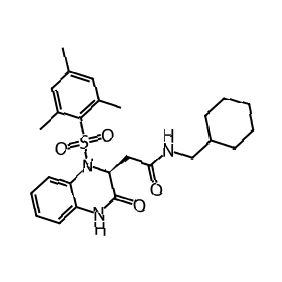 Cc1cc(C)c(S(=O)(=O)N2c3ccccc3NC(=O)[C@@H]2CC(=O)NCC2CCCCC2)c(C)c1